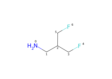 NCC(CF)CF